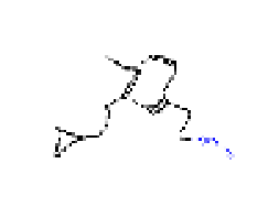 Cc1ccc(CCN)cc1CCC1CC1